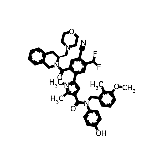 COc1cccc(CN(C(=O)c2cc(-c3cc(C(F)F)c(C#N)cc3C(=O)N3Cc4ccccc4C[C@H]3CN3CCOCC3)n(C)c2C)c2ccc(O)cc2)c1C